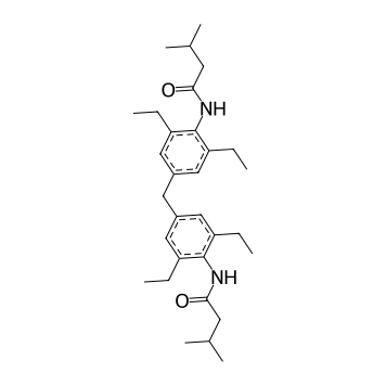 CCc1cc(Cc2cc(CC)c(NC(=O)CC(C)C)c(CC)c2)cc(CC)c1NC(=O)CC(C)C